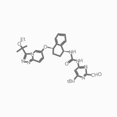 CCOC(C)(C)c1nnc2ccc(O[C@@H]3CC[C@H](NC(=O)Nc4cc(C(C)(C)C)nc(C=O)n4)c4ccccc43)cn12